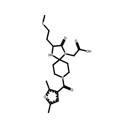 CSCCC1NC2(CCN(C(=O)c3cc(C)oc3C)CC2)N(CC(=O)O)C1=O